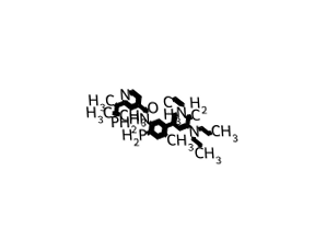 C=C1C(N(CCC)CCC)=CC(c2cc(NC(=O)c3ccnc(C(C)C(C)(C)P)c3)c(P)cc2C)=CN1/C=C\C